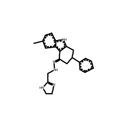 Cc1ccc2[nH]c3c(c2c1)C(=NNCC1=NCCN1)CC(c1ccccc1)C3